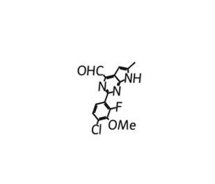 COc1c(Cl)ccc(-c2nc(C=O)c3cc(C)[nH]c3n2)c1F